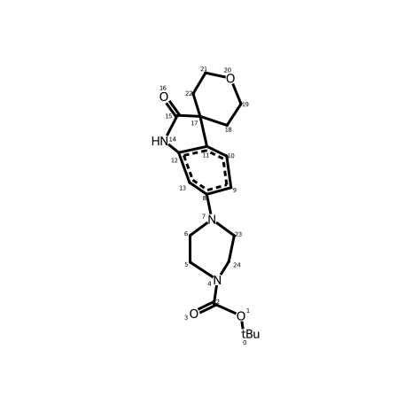 CC(C)(C)OC(=O)N1CCN(c2ccc3c(c2)NC(=O)C32CCOCC2)CC1